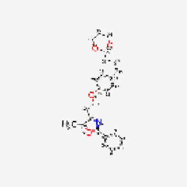 Cc1oc(-c2ccccc2)nc1CCOc1ccc(/C=C\CC2OCCCO2)cc1